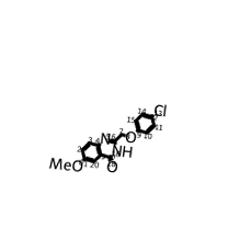 COc1ccc2nc(COc3ccc(Cl)cc3)[nH]c(=O)c2c1